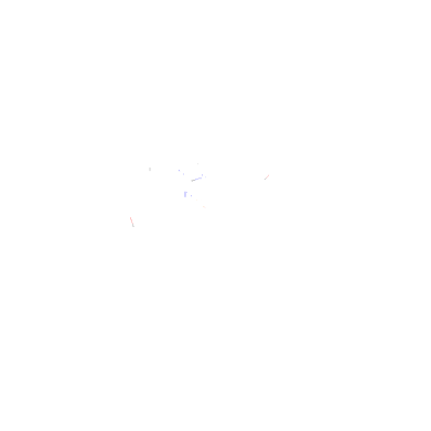 CC(C)C(C(=O)O)N(C)C(=N)NP(=O)(OCCCOC(=O)OC1CCCCC1)OCCCOC(=O)OC1CCCCC1